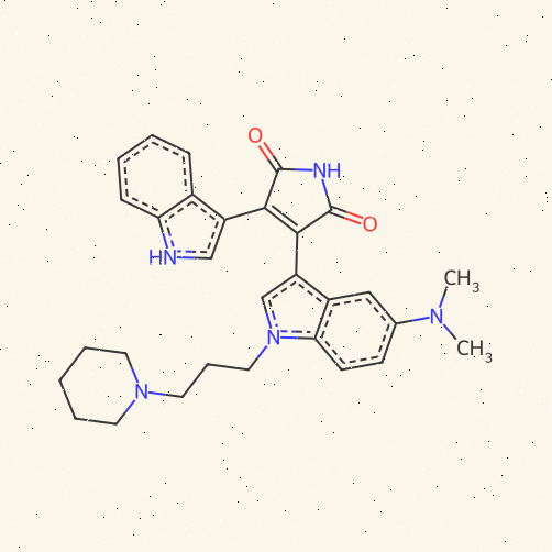 CN(C)c1ccc2c(c1)c(C1=C(c3c[nH]c4ccccc34)C(=O)NC1=O)cn2CCCN1CCCCC1